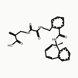 C=C(CNC(=O)C(=O)NCc1ccccc1C(=O)N[C@@]1(C)C=CC=Cc2ccccc21)C(=O)O